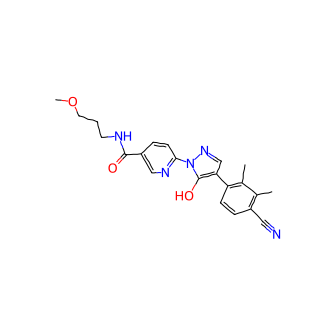 COCCCNC(=O)c1ccc(-n2ncc(-c3ccc(C#N)c(C)c3C)c2O)nc1